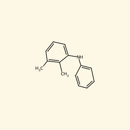 Cc1cccc(Nc2[c]cccc2)c1C